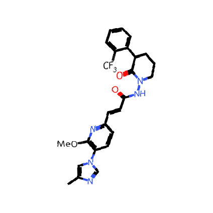 COc1nc(C=CC(=O)NN2CCCC(c3ccccc3C(F)(F)F)C2=O)ccc1-n1cnc(C)c1